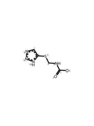 [O]C(=O)NCSc1cnn[nH]1